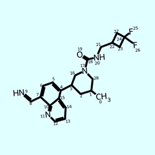 CC1CC(c2ccc(C=N)c3ncccc23)CN(C(=O)NCC2CC(F)(F)C2)C1